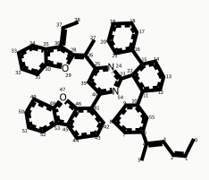 C/C=C\C=C(/C)c1cccc(-c2cccc(-c3ccccc3)c2-c2nc(/C(C)=c3\oc4ccccc4\c3=C\C)cc(-c3cccc4c3oc3ccccc34)n2)c1